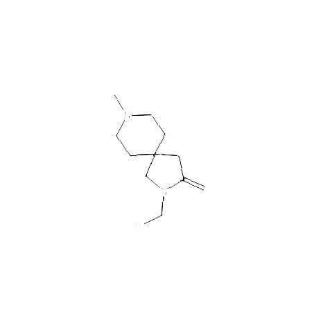 C=C1CC2(CCN(C)CC2)CN1CS